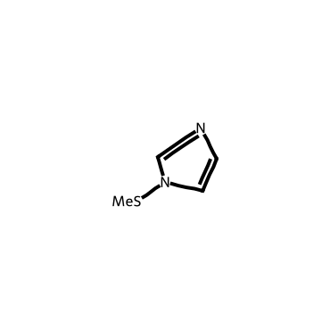 [CH2]Sn1ccnc1